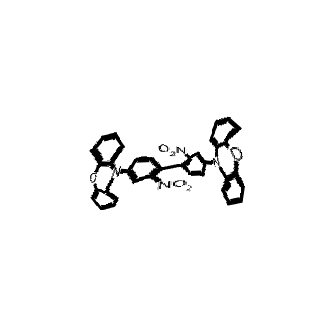 O=[N+]([O-])c1cc(N2c3ccccc3Oc3ccccc32)ccc1-c1ccc(N2c3ccccc3Oc3ccccc32)cc1[N+](=O)[O-]